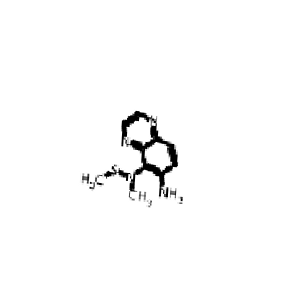 CSN(C)c1c(N)ccc2nccnc12